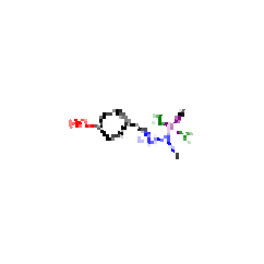 C=P(Cl)(Cl)N(C)/N=C/c1ccc(O)cc1